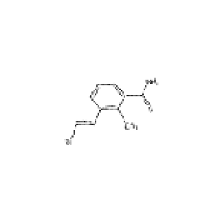 Cc1c(C=CBr)cccc1C(N)=O